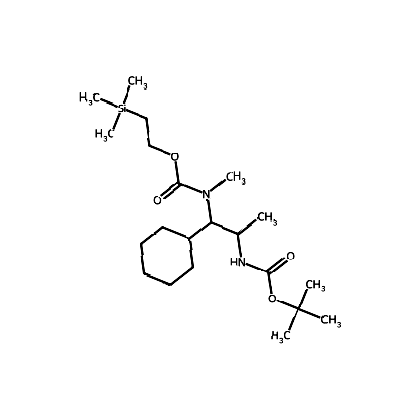 CC(NC(=O)OC(C)(C)C)C(C1CCCCC1)N(C)C(=O)OCC[Si](C)(C)C